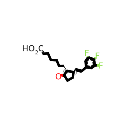 O=C(O)CCCCCC[C@H]1C(=O)CC[C@@H]1C=Cc1cc(F)c(F)c(F)c1